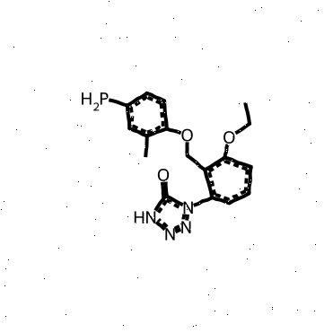 CCOc1cccc(-n2nn[nH]c2=O)c1COc1ccc(P)cc1C